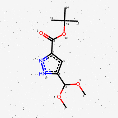 COC(OC)c1cc(C(=O)OC(C)(C)C)n[nH]1